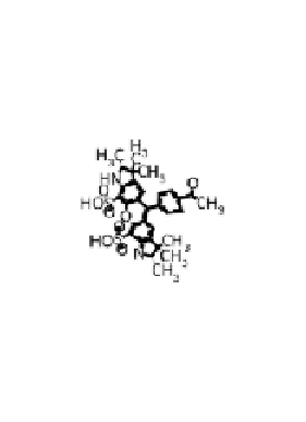 CC(=O)c1ccc(C2=c3cc4c(c(S(=O)(=O)O)c3Oc3c2cc2c(c3S(=O)(=O)O)N[C@H](C)C2(C)C)=N[C@@H](C)C4(C)C)cc1